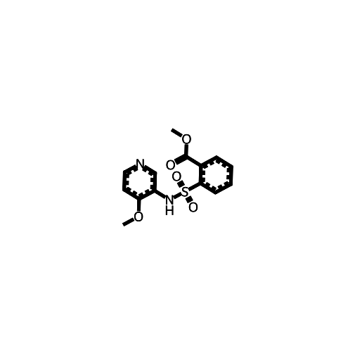 COC(=O)c1ccccc1S(=O)(=O)Nc1cnccc1OC